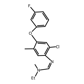 CCN(C)/C=N\c1cc(C)c(Oc2cccc(F)c2)cc1Cl